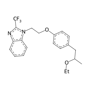 CCOC(C)Cc1ccc(OCCn2c(C(F)(F)F)nc3ccccc32)cc1